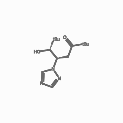 CC(C)(C)C(=O)C[C@H]([C@H](O)C(C)(C)C)n1cncn1